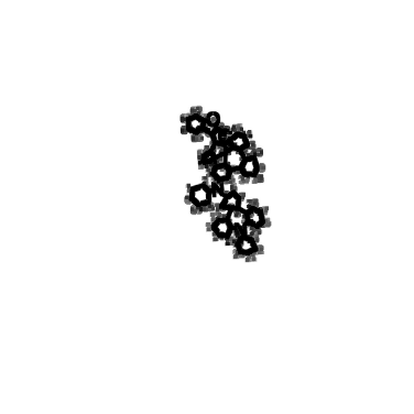 c1ccc(N(c2ccc3c(c2)-c2ccccc2N(c2ccccc2)c2ccccc2-3)c2ccc3c(c2)-c2ccccc2-c2ccccc2C32c3ccccc3-c3c2ccc2oc4ccccc4c32)cc1